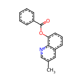 Cc1cnc2c(OC(=O)c3ccccc3)cccc2c1